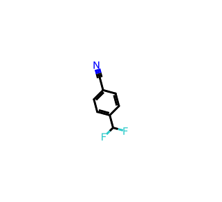 N#Cc1ccc(C(F)F)cc1